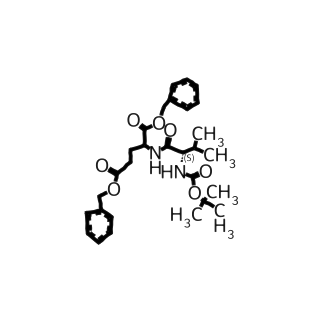 CC(C)[C@H](NC(=O)OC(C)(C)C)C(=O)NC(CCC(=O)OCc1ccccc1)C(=O)OCc1ccccc1